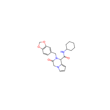 O=C(NC1CCCCC1)C1c2cccn2CC(=O)N1Cc1ccc2c(c1)OCO2